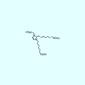 CCCCCCCCCCCCCCCCCC1N(CCCCCCCCCCC)C=CN1CCCCCCCCCCCCCCCC